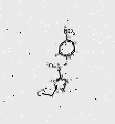 O=[N+]([O-])c1ccc(C[S+]([O-])c2ncc(CCl)s2)cc1